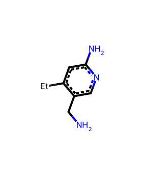 CCc1cc(N)ncc1CN